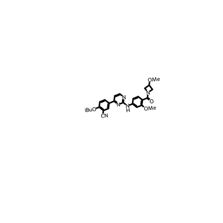 COc1cc(Nc2nccc(-c3ccc(OCC(C)C)c(C#N)c3)n2)ccc1C(=O)N1CC(OC)C1